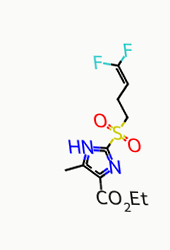 CCOC(=O)c1nc(S(=O)(=O)CCC=C(F)F)[nH]c1C